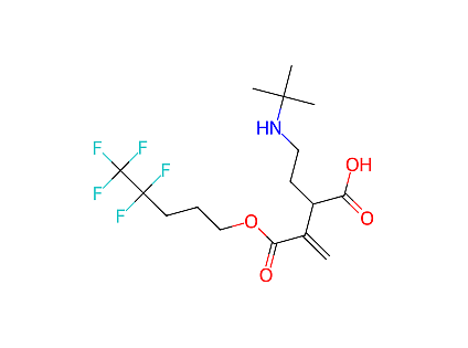 C=C(C(=O)OCCCC(F)(F)C(F)(F)F)C(CCNC(C)(C)C)C(=O)O